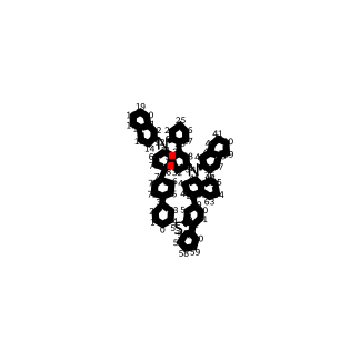 c1ccc(-c2ccc(-c3ccc(N(c4ccc5ccccc5c4)c4ccccc4-c4cccc(N(c5ccc6ccccc6c5)c5ccc(-c6ccc7c(c6)sc6ccccc67)c6ccccc56)c4)cc3)cc2)cc1